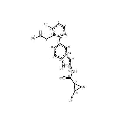 CC(C)NCc1c(F)cccc1-c1ccc2nc(NC(=O)C3CC3F)cn2c1